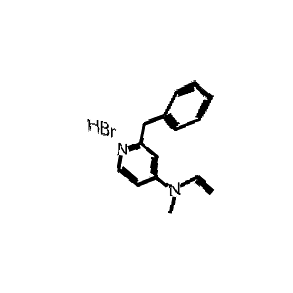 Br.C=CN(C)c1ccnc(Cc2ccccc2)c1